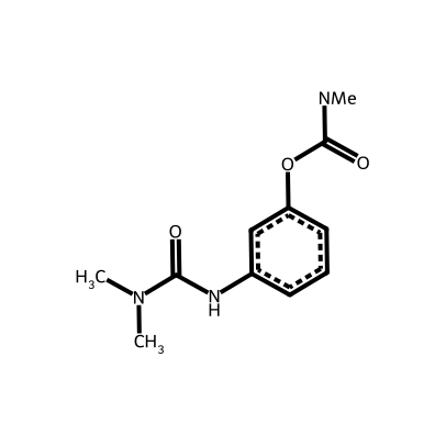 CNC(=O)Oc1cccc(NC(=O)N(C)C)c1